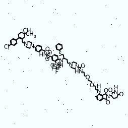 CC1(C)CCC(c2ccc(Cl)cc2)=C(CN2CCN(c3ccc(C(=O)NS(=O)(=O)c4ccc(NC(CCN5CCN(C(=O)NCCOCCOCCNc6cccc7c6C(=O)N(C6CCC(=O)NC6=O)C7=O)CC5)CSc5ccccc5)c(S(=O)(=O)C(F)(F)F)c4)cc3)CC2)C1